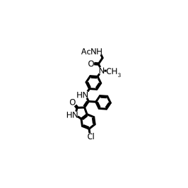 CC(=O)NCC(=O)N(C)c1ccc(N/C(=C2\C(=O)Nc3cc(Cl)ccc32)c2ccccc2)cc1